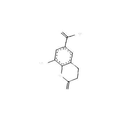 COC(=O)c1cc2c(c(OC)c1)NC(=O)CC2